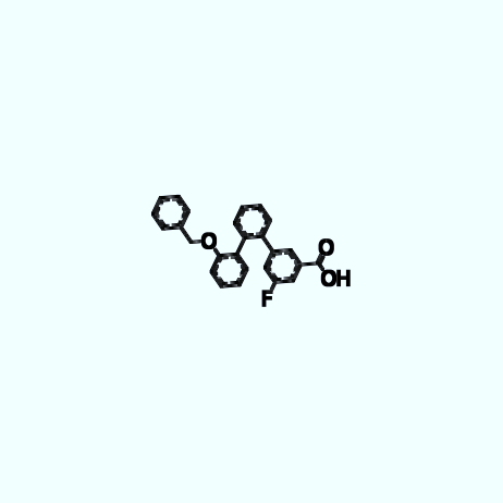 O=C(O)c1cc(F)cc(-c2ccccc2-c2ccccc2OCc2ccccc2)c1